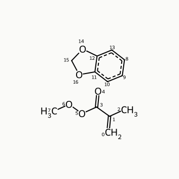 C=C(C)C(=O)OOC.c1ccc2c(c1)OCO2